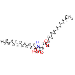 CCCCCCCCCCCCCCOC(=O)CC[C@H](NC(=O)CCCCCCCCCCCCC)C(=O)O